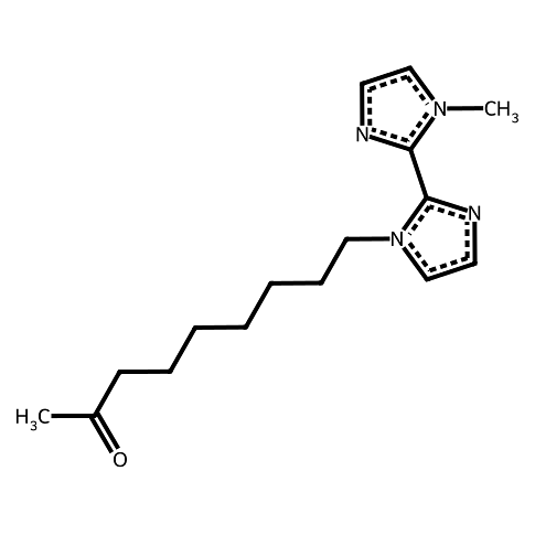 CC(=O)CCCCCCCn1ccnc1-c1nccn1C